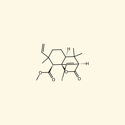 C=CC1(C)CC[C@H]2C(C)(C)[C@@H]3C=C(I)[C@]2(OC3=O)[C@H]1C(=O)OC